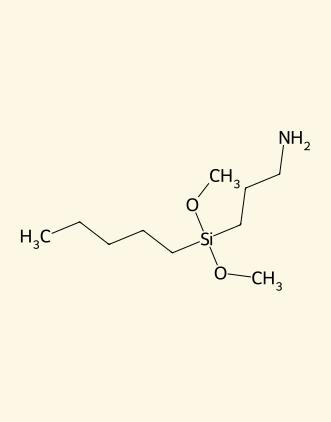 CCCCC[Si](CCCN)(OC)OC